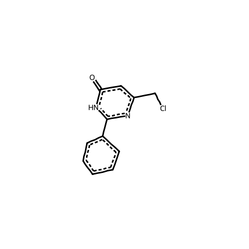 O=c1cc(CCl)nc(-c2ccccc2)[nH]1